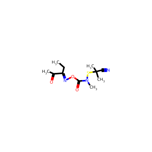 CC/C(=N\OC(=O)N(C)SC(C)(C)C#N)C(C)=O